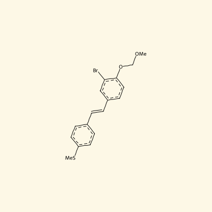 COCOc1ccc(C=Cc2ccc(SC)cc2)cc1Br